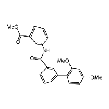 COC(=O)c1cccc(NC(=O)c2cccc(-c3ccc(OC)cc3OC)c2)c1